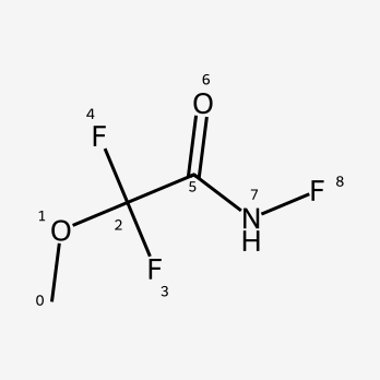 COC(F)(F)C(=O)NF